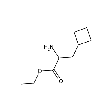 CCOC(=O)C(N)CC1CCC1